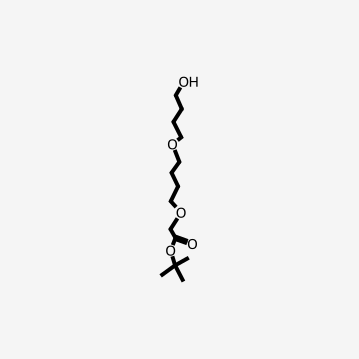 CC(C)(C)OC(=O)COCCCCOCCCCO